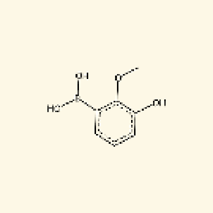 COc1c(O)cccc1B(O)O